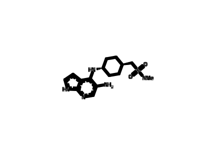 CNS(=O)(=O)C[C@H]1CC[C@H](Nc2c(N)cnc3[nH]ccc23)CC1